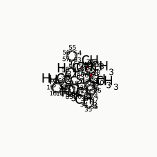 CC1=C(C)C(C)C([Si](c2c(C)c(-c3ccccc3)cc(C)c2-c2ccccc2)(c2c(C)c(-c3ccccc3)cc(C)c2-c2ccccc2)c2c(C)c(-c3ccccc3)cc(C)c2-c2ccccc2)=C1C